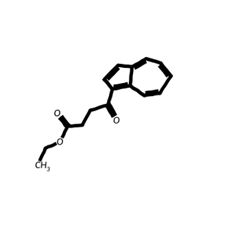 CCOC(=O)CCC(=O)c1ccc2cccccc1-2